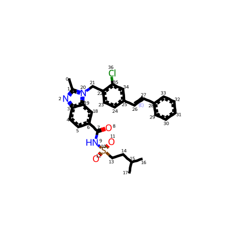 Cc1nc2ccc(C(=O)NS(=O)(=O)CCC(C)C)cc2n1Cc1ccc(/C=C/c2ccccc2)cc1Cl